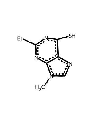 CCc1nc(S)c2ncn(C)c2n1